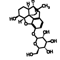 CN1CC[C@]23c4c5ccc(OC6O[C@H](CO)[C@@H](O)[C@H](O)[C@H]6O)c4O[C@H]2[C@@H](O)CC[C@H]3[C@H]1C5